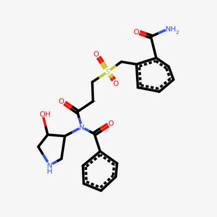 NC(=O)c1ccccc1CS(=O)(=O)C[CH]C(=O)N(C(=O)c1ccccc1)C1CNCC1O